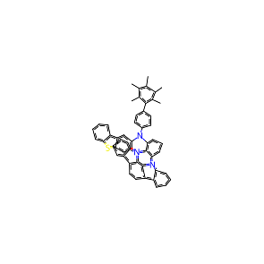 Cc1c(C)c(C)c(-c2ccc(N(c3ccc4sc5ccccc5c4c3)c3cccc4c3n3c5ccccc5c5ccc6c7ccccc7n4c6c53)cc2)c(C)c1C